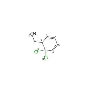 N#CCC1C=CC=CC1(Cl)Cl